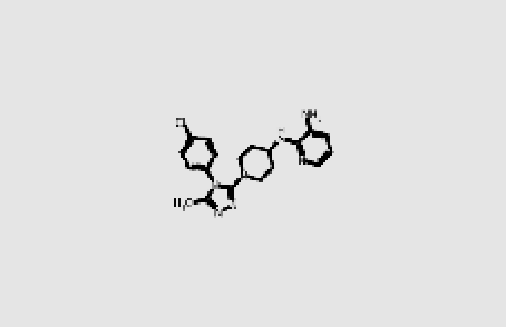 Cc1nnc(N2CCC(Nc3ncccc3N)CC2)n1-c1ccc(Cl)cc1